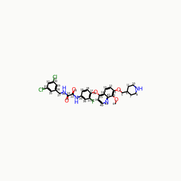 COc1c(OCC2CCNCC2)ccc2c(Oc3ccc(NC(=O)C(=O)NCc4cc(Cl)cc(Cl)c4)cc3F)ccnc12